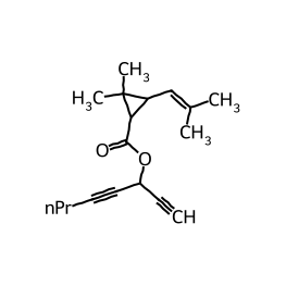 C#CC(C#CCCC)OC(=O)C1C(C=C(C)C)C1(C)C